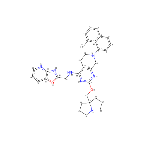 CCc1cccc2cccc(N3CCc4c(nc(OCC56CCCN5CCC6)nc4NCc4nc5ncccc5o4)C3)c12